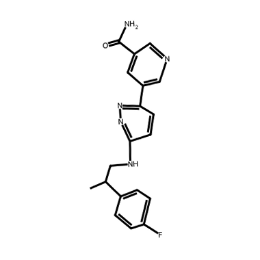 CC(CNc1ccc(-c2cncc(C(N)=O)c2)nn1)c1ccc(F)cc1